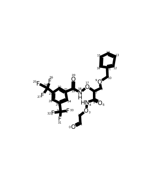 O=CCONC(=O)C(COCc1ccccc1)ONC(=O)c1cc(C(F)(F)F)cc(C(F)(F)F)c1